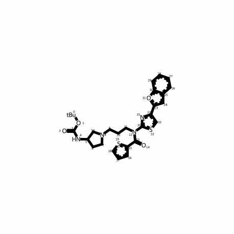 CC(C)(C)OC(=O)NC1CCN(CCCN(C(=O)c2cccs2)c2nc(-c3cc4ccccc4o3)cs2)C1